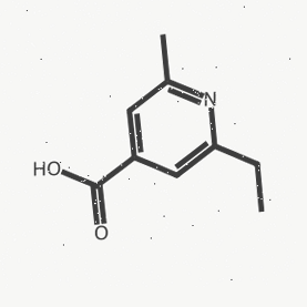 CCc1cc(C(=O)O)cc(C)n1